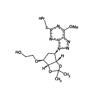 CCCSc1nc(OC)c2nnn([C@@H]3C[C@H](OCCO)[C@H]4OC(C)(C)O[C@H]43)c2n1